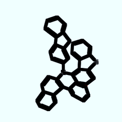 c1ccc(-c2c(N(c3ccc4c(c3)Cc3ccccc3-4)c3cccc4sc5ccccc5c34)ccc3ccccc23)cc1